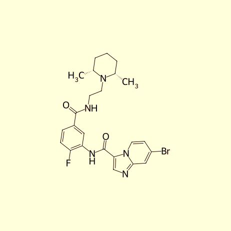 C[C@@H]1CCC[C@H](C)N1CCNC(=O)c1ccc(F)c(NC(=O)c2cnc3cc(Br)ccn23)c1